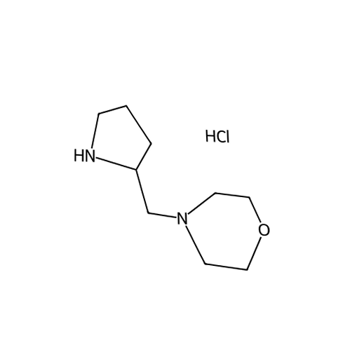 C1CNC(CN2CCOCC2)C1.Cl